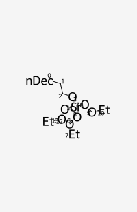 CCCCCCCCCCCCO[Si](OOCC)(OOCC)OOCC